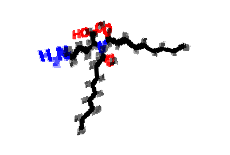 CCCCCCCCC(=O)N(C(=O)CCCCCCCC)[C@@H](CCCN)C(=O)O